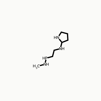 CNPCCNC1CCCN1